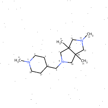 CN1CCC(CN2CC3(C)CN(C)CC3(C)C2)CC1